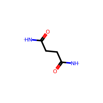 [NH]C(=O)CCC([NH])=O